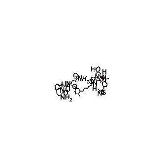 Cc1ccc(OC[C@H](CCC(N)=O)NC(=O)[C@@H]2Cc3cccc4c3N2C(=O)[C@@H](N)CC4)cc1CCCCCC(=O)N[C@H](C(=O)N1C[C@H](O)C[C@H]1C(=O)N[C@@H](C)c1ccc(-c2scnc2C)cc1)C(C)(C)C